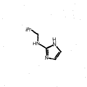 CC(C)CNc1ncc[nH]1